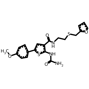 COc1ccc(-c2cc(C(=O)NCCSCc3ccco3)c(NC(N)=O)s2)cc1